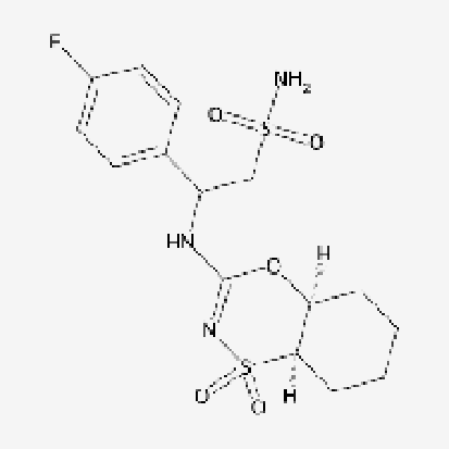 NS(=O)(=O)CC(NC1=NS(=O)(=O)[C@@H]2CCCC[C@@H]2O1)c1ccc(F)cc1